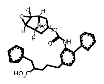 CN1[C@@H]2C[C@@H](OC(=O)Nc3cc(CCCC(Cc4ccccc4)C(=O)O)ccc3-c3ccccc3)C[C@H]1[C@@H]1O[C@@H]12